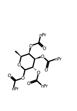 CCCC(=O)OC1O[C@@H](C)[C@@H](OC(=O)CCC)[C@@H](OC(=O)CCC)[C@@H]1OC(=O)CCC